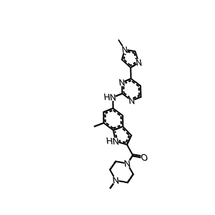 Cc1cc(Nc2nccc(-c3cn(C)cn3)n2)cc2cc(C(=O)N3CCN(C)CC3)[nH]c12